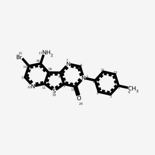 Cc1ccc(-n2cnc3c(sc4ncc(Br)c(N)c43)c2=O)cc1